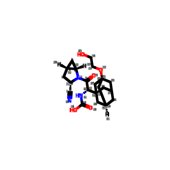 N#C[C@@H]1C[C@@H]2C[C@@H]2N1C(=O)[C@@H](NC(=O)O)[C@]12CC3C[C@H](C[C@@](OCCO)(C3)C1)C2